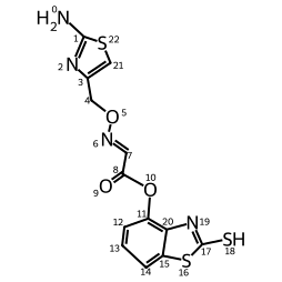 Nc1nc(CON=CC(=O)Oc2cccc3sc(S)nc23)cs1